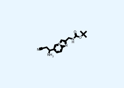 CC(C)(C)OC(=O)NCc1cn2cc(C(N)CC#N)ccc2n1